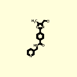 Cc1oc(-c2ccc(C(=O)NCc3cccnc3)cc2)nc1CCl